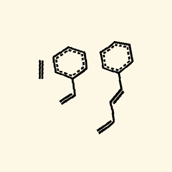 C=C.C=CC=Cc1ccccc1.C=Cc1ccccc1